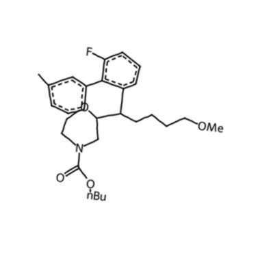 CCCCOC(=O)N1CCOC(C(CCCCOC)c2cccc(F)c2-c2cccc(C)c2)C1